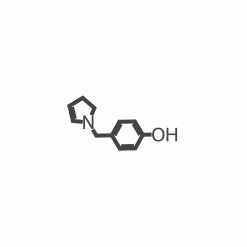 Oc1ccc(CN2C=CCC2)cc1